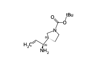 C=C[C@H](N)[C@H]1CCN(C(=O)OC(C)(C)C)C1